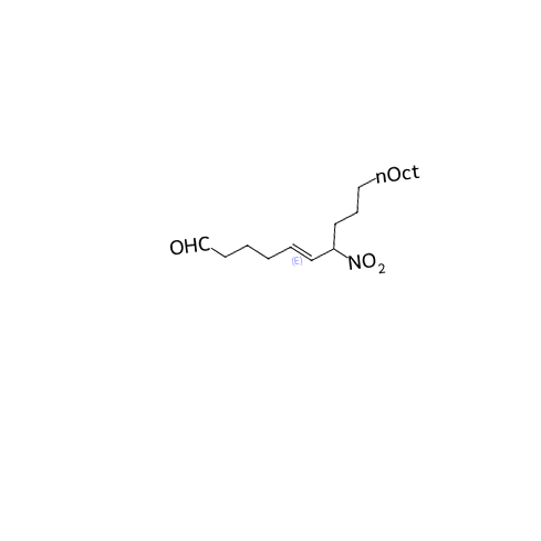 CCCCCCCCCCCC(/C=C/CCCC=O)[N+](=O)[O-]